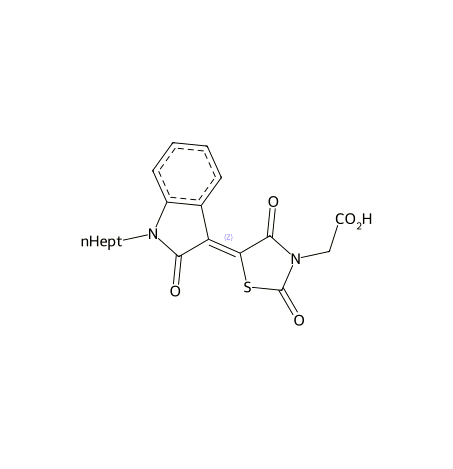 CCCCCCCN1C(=O)/C(=C2\SC(=O)N(CC(=O)O)C2=O)c2ccccc21